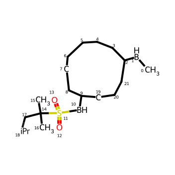 CBC1CCCCCCC(BS(=O)(=O)C(C)(C)CC(C)C)CCC1